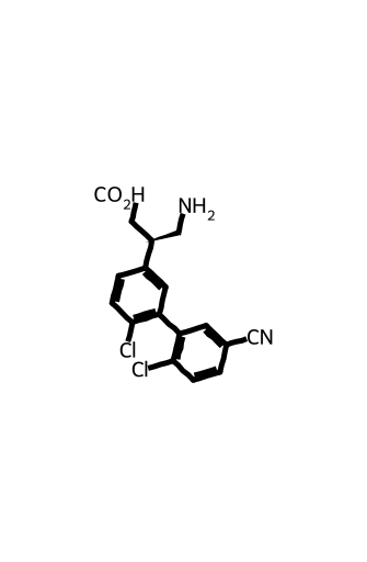 N#Cc1ccc(Cl)c(-c2cc([C@H](CN)CC(=O)O)ccc2Cl)c1